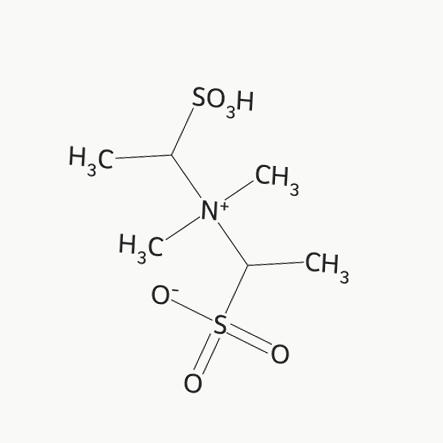 CC([N+](C)(C)C(C)S(=O)(=O)O)S(=O)(=O)[O-]